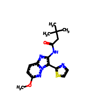 COc1ccc2nc(NC(=O)CC(C)(C)C)c(-c3nccs3)n2n1